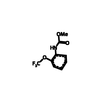 COC(=O)Nc1ccccc1OC(F)(F)F